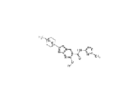 CC(C)Oc1nc2nc(C34CCC(C)(CC3)OC4)cn2cc1C(=O)Nc1ccn(C)n1